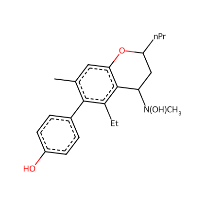 CCCC1CC(N(C)O)c2c(cc(C)c(-c3ccc(O)cc3)c2CC)O1